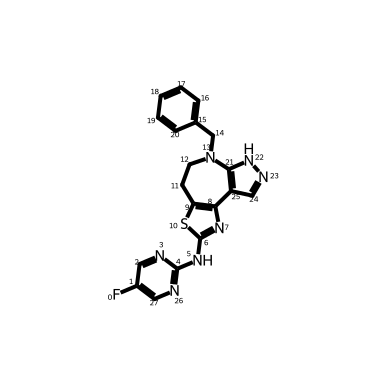 Fc1cnc(Nc2nc3c(s2)CCN(Cc2ccccc2)c2[nH]ncc2-3)nc1